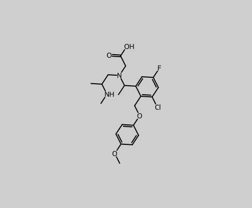 CNC(C)CN(CC(=O)O)C(C)c1cc(F)cc(Cl)c1COc1ccc(OC)cc1